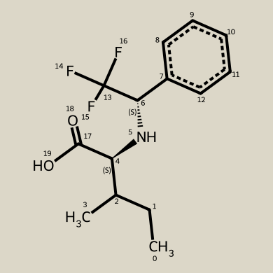 CCC(C)[C@H](N[C@@H](c1ccccc1)C(F)(F)F)C(=O)O